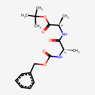 C[C@H](NC(=O)OCc1ccccc1)C(=O)N[C@H](C)C(=O)OC(C)(C)C